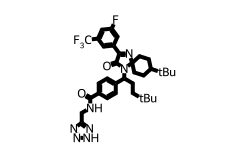 CC(C)(C)CCC(c1ccc(C(=O)NCc2nn[nH]n2)cc1)N1C(=O)C(c2cc(F)cc(C(F)(F)F)c2)=NC12CCC(C(C)(C)C)CC2